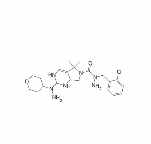 CC1(C)C2=CNC(N(N)C3CCOCC3)NC2CN1C(=O)N(N)Cc1ccccc1Cl